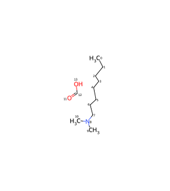 CCCCCCCCN(C)C.O=CO